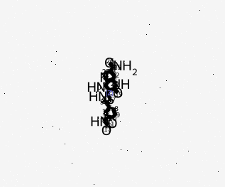 N=C1/C(=C2\NC=C(c3ccc4oc(=O)[nH]c4c3)S2)C(=O)Nc2cc(C(N)=O)cnc21